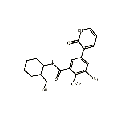 COc1c(C(=O)NC2CCCCC2CO)cc(-c2ccc[nH]c2=O)cc1C(C)(C)C